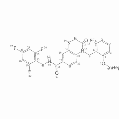 CCCCCCCOc1cccc(F)c1CN1C(=O)CSc2cc(C(=O)NCc3c(F)cc(F)cc3F)ccc21